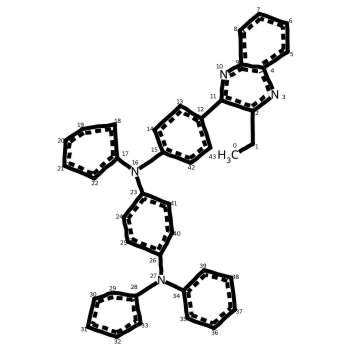 CCc1nc2ccccc2nc1-c1ccc(N(c2ccccc2)c2ccc(N(c3ccccc3)c3ccccc3)cc2)cc1